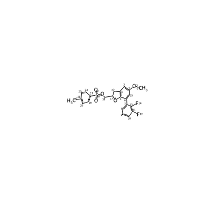 COc1cc2c(c(-c3cccc(F)c3F)c1)OC(COS(=O)(=O)c1ccc(C)cc1)C2